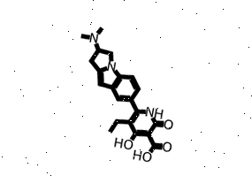 CCc1c(-c2ccc3c(c2)cc2n3CC(N(C)C)C2)[nH]c(=O)c(C(=O)O)c1O